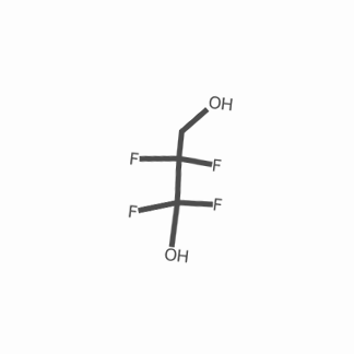 OCC(F)(F)C(O)(F)F